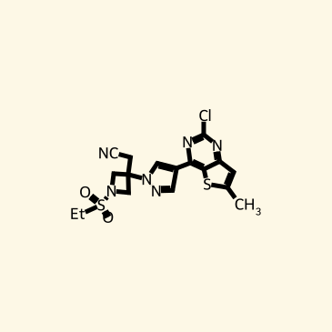 CCS(=O)(=O)N1CC(CC#N)(n2cc(-c3nc(Cl)nc4cc(C)sc34)cn2)C1